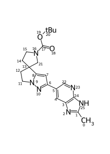 Cc1nc2cc(-c3cc4n(n3)CCC43CCN(C(=O)OC(C)(C)C)C3)cnc2[nH]1